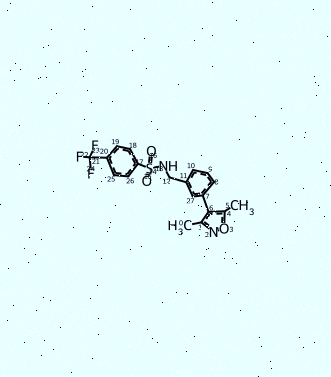 Cc1noc(C)c1-c1cccc(CNS(=O)(=O)c2ccc(C(F)(F)F)cc2)c1